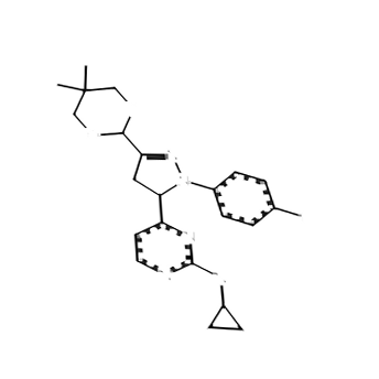 CC1(C)COC(C2=NN(c3ccc(F)cc3)C(c3ccnc(NC4CC4)n3)C2)OC1